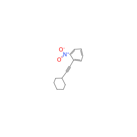 O=[N+]([O-])c1ccccc1C#CC1CCCCC1